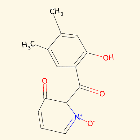 Cc1cc(O)c(C(=O)C2C(=O)C=CC=[N+]2[O-])cc1C